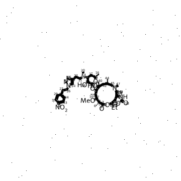 CC[C@H]1OC(=O)[C@H](C)[C@@H](OC)[C@H](C)[C@@H](O[C@@H]2O[C@H](C)C[C@H](N(C)CCc3cn(CCc4ccc([N+](=O)[O-])cc4)nn3)[C@H]2O)[C@](C)(O)C[C@@H](C)CN(C)[C@H](C)[C@H]2NC(=O)O[C@@H]21